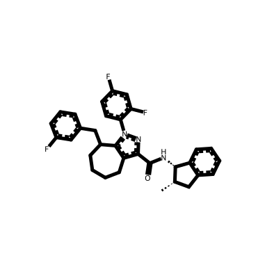 C[C@H]1Cc2ccccc2[C@H]1NC(=O)c1nn(-c2ccc(F)cc2F)c2c1CCCCC2Cc1cccc(F)c1